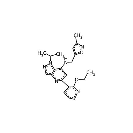 CCOc1ncccc1-c1cc(NCc2cc(C)no2)c2c(cnn2C(C)C)n1